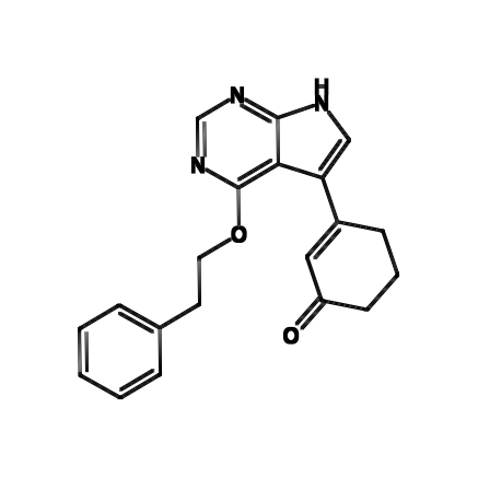 O=C1C=C(c2c[nH]c3ncnc(OCCc4ccccc4)c23)CCC1